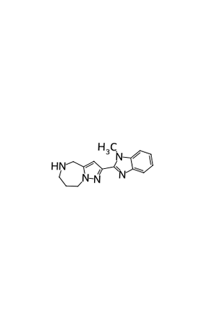 Cn1c(-c2cc3n(n2)CCCNC3)nc2ccccc21